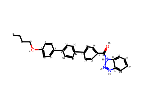 CCCCOc1ccc(-c2ccc(-c3ccc(C(=O)n4nnc5ccccc54)cc3)cc2)cc1